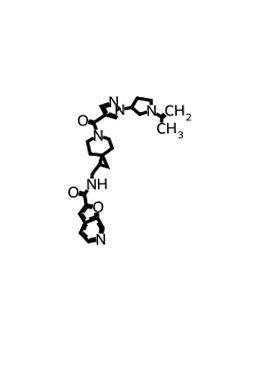 C=C(C)N1CCC(n2cc(C(=O)N3CCC4(CC3)CC4CNC(=O)c3cc4ccncc4o3)cn2)C1